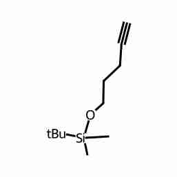 C#CCCCO[Si](C)(C)C(C)(C)C